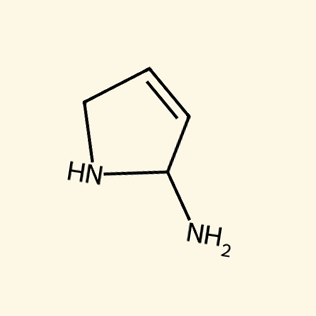 NC1C=CCN1